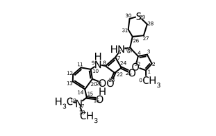 Cc1ccc([C@@H](Nc2c(Nc3cccc(C(=O)N(C)C)c3O)c(=O)c2=O)C2CCSCC2)o1